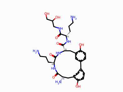 NCCC[C@H](NC(=O)[C@@H]1Cc2cc(ccc2O)-c2ccc(O)c(c2)C[C@H](N)C(=O)N[C@@H](CCCN)C(=O)N1)C(=O)NCC(O)CO